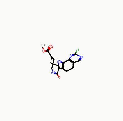 CC(C)(C)OC(=O)C1CC2(CNC(=O)c3c2[nH]c2c3CCc3cnc(Cl)nc3-2)C1